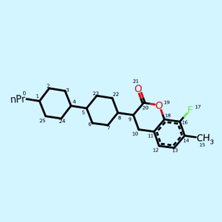 CCCC1CCC(C2CCC(C3Cc4ccc(C)c(F)c4OC3=O)CC2)CC1